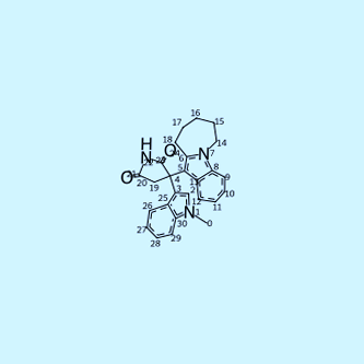 Cn1cc(C2(c3c4n(c5ccccc35)CCCCC4)CC(=O)NC2=O)c2ccccc21